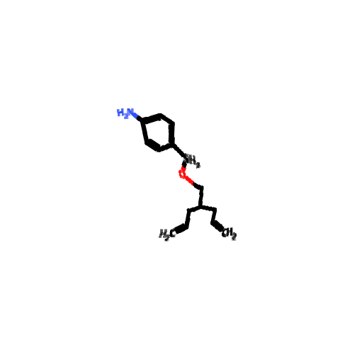 C=CCC(CC=C)CO[SiH2]c1ccc(N)cc1